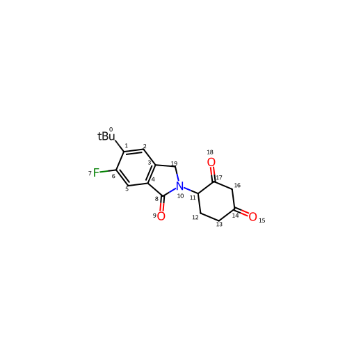 CC(C)(C)c1cc2c(cc1F)C(=O)N(C1CCC(=O)CC1=O)C2